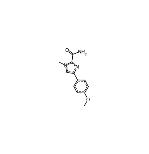 COc1ccc(-c2cn(C)c(C(N)=O)n2)cc1